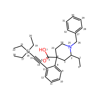 CCC1CC(C(=O)O)(c2ccccc2C#C[Si](CC)(CC)CC)CCN1Cc1ccccc1